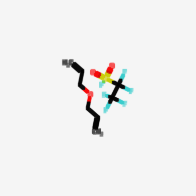 C=CCOCC=C.O=S(=O)(F)C(F)(F)C(F)(F)F